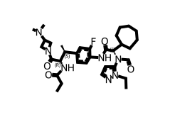 CCC(=O)N[C@@H](C(=O)N1CC(N(C)C)C1)[C@@H](C)c1ccc(NC(=O)[C@H](C2CCCCCC2)N(C=O)c2ccnn2CC)c(F)c1